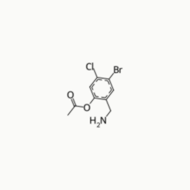 CC(=O)Oc1cc(Cl)c(Br)cc1CN